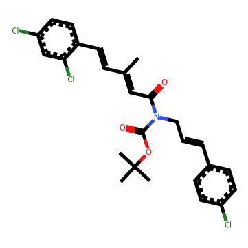 CC(/C=C/c1ccc(Cl)cc1Cl)=C\C(=O)N(C/C=C/c1ccc(Cl)cc1)C(=O)OC(C)(C)C